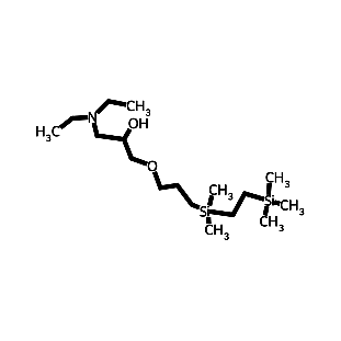 CCN(CC)CC(O)COCCC[Si](C)(C)CC[Si](C)(C)C